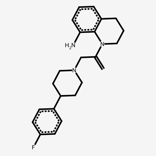 C=C(CN1CCC(c2ccc(F)cc2)CC1)N1CCCc2cccc(N)c21